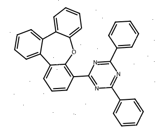 c1ccc(-c2nc(-c3ccccc3)nc(-c3cccc4c3Oc3ccccc3-c3ccccc3-4)n2)cc1